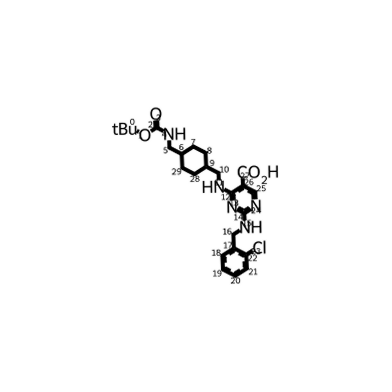 CC(C)(C)OC(=O)NCC1CCC(CNc2nc(NCc3ccccc3Cl)ncc2C(=O)O)CC1